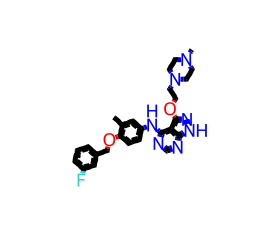 Cc1cc(Nc2ncnc3[nH]nc(OCCN4CCN(C)CC4)c23)ccc1OCc1cccc(F)c1